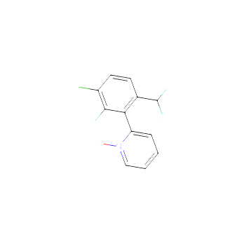 [O-][n+]1ccccc1-c1c(C(F)F)ccc(Cl)c1F